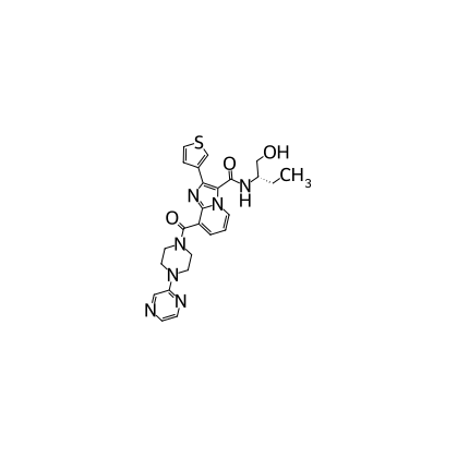 CC[C@@H](CO)NC(=O)c1c(-c2ccsc2)nc2c(C(=O)N3CCN(c4cnccn4)CC3)cccn12